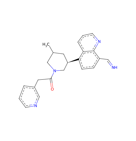 CC1C[C@@H](c2ccc(C=N)c3ncccc23)CN(C(=O)Cc2cccnc2)C1